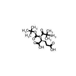 CC(C)(C)OC(=O)N(C(=O)C(C)(C)N)[C@@H](CCC(=O)O)C(=O)O